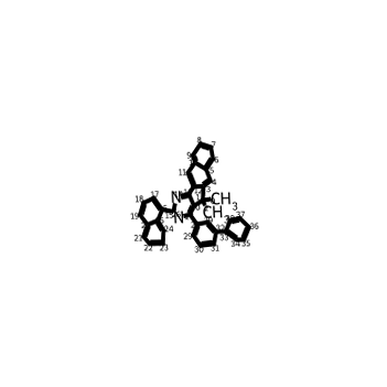 CC1(C)c2cc3ccccc3cc2-c2nc(-c3cccc4ccccc34)nc(-c3cccc(-c4ccccc4)c3)c21